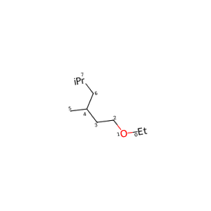 CCOCCC(C)CC(C)C